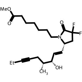 CCC#CC[C@@H](C)[C@@H](O)C=C[C@H]1CC(F)(F)C(=O)N1CCCCCCC(=O)OC